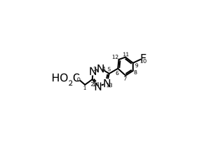 O=C(O)Cc1nnc(-c2ccc(F)cc2)nn1